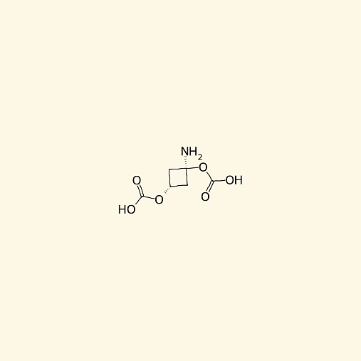 N[C@]1(OC(=O)O)C[C@H](OC(=O)O)C1